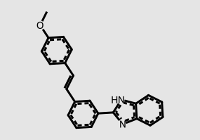 COc1ccc(C=Cc2cccc(-c3nc4ccccc4[nH]3)c2)cc1